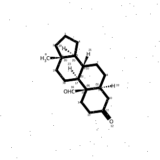 C[C@@]12CCC[C@H]1[C@@H]1CC[C@H]3CC(=O)CC[C@]3(C=O)[C@H]1CC2